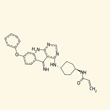 C=CC(=O)N[C@H]1CC[C@H](Nc2ncnc(N)c2C(=N)c2ccc(Oc3ccccc3)cc2)CC1